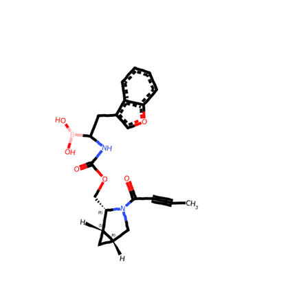 CC#CC(=O)N1C[C@@H]2C[C@@H]2[C@@H]1COC(=O)NC(Cc1coc2ccccc12)B(O)O